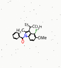 CCC(C(=O)O)c1c(C)n(C(=O)c2ccccc2)c2ccc(OC)c(F)c12